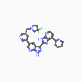 FC1(F)CCN(Cc2cncc(-c3cnc4[nH]nc(-c5nc6c(-c7ccccn7)ccnc6[nH]5)c4c3)c2)C1